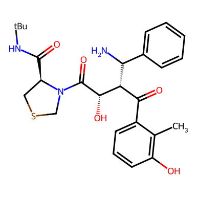 Cc1c(O)cccc1C(=O)[C@@H](C(N)c1ccccc1)[C@H](O)C(=O)N1CSC[C@H]1C(=O)NC(C)(C)C